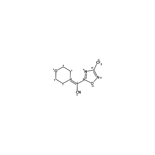 N#CC(=C1CCOCC1)c1nc(C(F)(F)F)no1